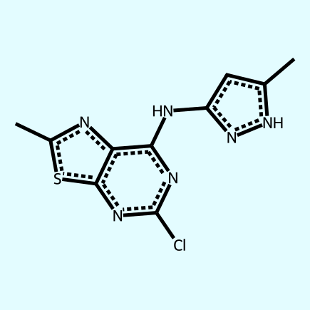 Cc1cc(Nc2nc(Cl)nc3sc(C)nc23)n[nH]1